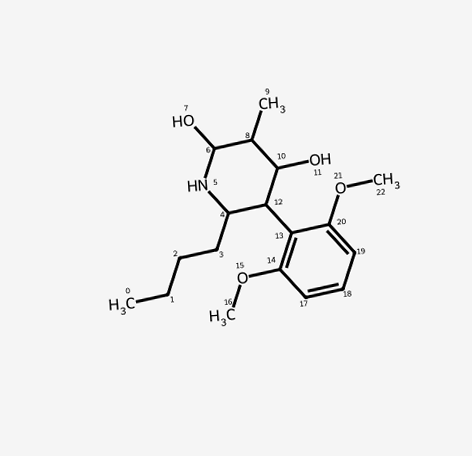 CCCCC1NC(O)C(C)C(O)C1c1c(OC)cccc1OC